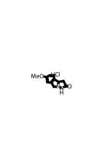 COc1ccc2c(c1)CN1NC(=O)CC21.Cl